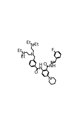 CCN(CC)CCN(CCN(CC)CC)Cc1cccc(C(=O)Nc2ccc(N3CCCCC3)cc2C(=O)NN=Cc2cccc(F)c2)c1